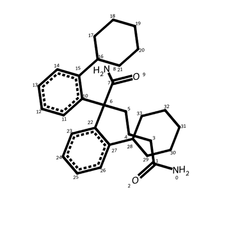 NC(=O)CCCC(C(N)=O)(c1ccccc1C1CCCCC1)c1ccccc1C1CCCCC1